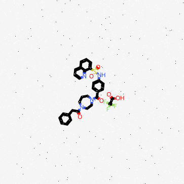 O=C(Cc1ccccc1)N1CCCN(C(=O)c2ccc(NS(=O)(=O)c3cccc4cccnc34)cc2)CC1.O=C(O)C(F)(F)F